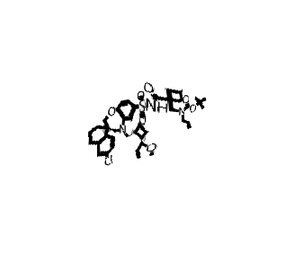 C=CCN(CC1(C(=O)NS(=O)(=O)c2ccc3c(c2)N(C[C@@H]2CC[C@H]2C(C=C)OC)C[C@@]2(CCCc4cc(Cl)ccc42)CO3)CCC1)C(=O)OC(C)(C)C